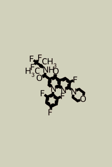 CC(C)(NC(=O)c1cn(-c2c(F)cc(F)cc2F)c2nc(N3CCOCC3)c(F)cc2c1=O)C(F)(F)F